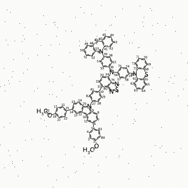 COc1ccc(-c2ccc3c(c2)c2cc(-c4ccc(OC)cc4)ccc2n3-c2ccc(-c3ccc(N(c4ccc(N5c6ccccc6Sc6ccccc65)cc4)c4ccc(N5c6ccccc6Sc6ccccc65)cc4)c4nsnc34)cc2)cc1